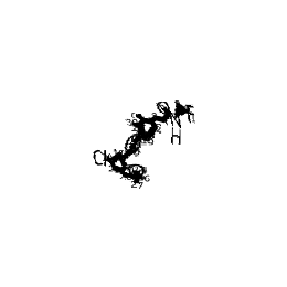 Cc1c(C=CC(=O)N[C@@H]2C[C@@H]2F)ccc(OCc2cc(Cl)cc3c2OC(C)(C)C3)c1C